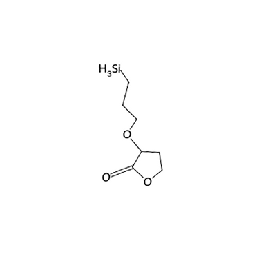 O=C1OCCC1OCCC[SiH3]